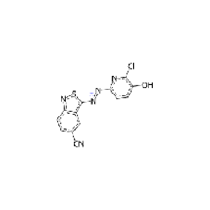 N#Cc1ccc2nsc(/N=N/c3ccc(O)c(Cl)n3)c2c1